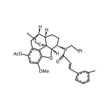 COc1cc(OC(C)=O)c2c3c1O[C@H]1[C@H](N(CC(C)C)C(=O)C=Cc4cccc(C)c4)CC[C@H]4[C@@H](C2)N(C)CC[C@@]341